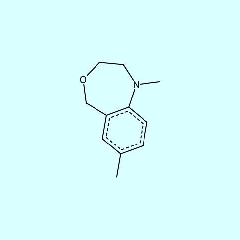 Cc1ccc2c(c1)COCCN2C